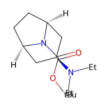 CCN(CC)[C@H]1C[C@H]2CC[C@@H](C1)N2C(=O)OC(C)(C)C